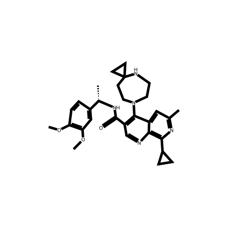 COc1ccc([C@H](C)NC(=O)c2cnc3c(C4CC4)nc(C)cc3c2N2CCNC3(CC2)CC3)cc1OC